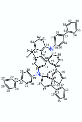 CC1(C)c2cc(N(c3ccc(-c4ccccc4)cc3)c3ccc(-c4ccccc4)cc3)ccc2-c2c(N(c3ccc(C4=CCCC=C4)cc3)c3ccc(-c4ccccc4)cc3)cccc21